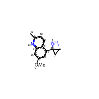 COc1cc(C2(N)CC2)c2ccc(C)nc2c1